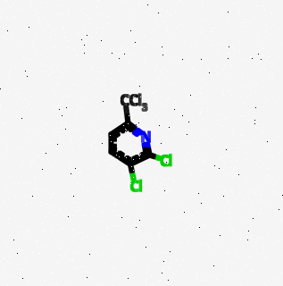 Clc1ccc(C(Cl)(Cl)Cl)nc1Cl